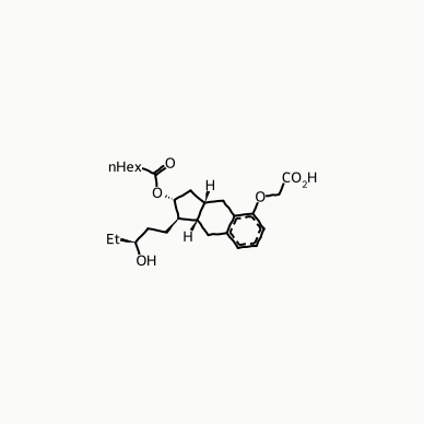 CCCCCCC(=O)O[C@@H]1C[C@@H]2Cc3c(cccc3OCC(=O)O)C[C@@H]2[C@H]1CC[C@@H](O)CC